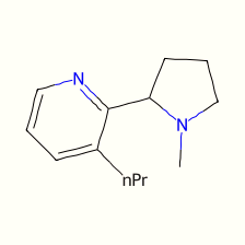 CCCc1cccnc1C1CCCN1C